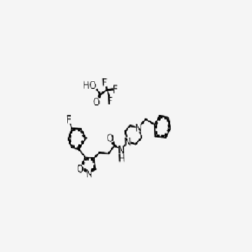 O=C(CCc1cnoc1-c1ccc(F)cc1)NN1CCN(Cc2ccccc2)CC1.O=C(O)C(F)(F)F